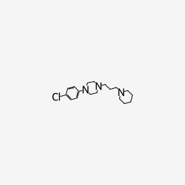 Clc1ccc(N2CCN(CCCN3CCCCC3)CC2)cc1